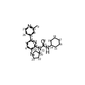 Cc1cc(-c2ccc3c(n2)N(C(=O)NC2CCCCC2)[C@@]2(C)CCN3C2)ccn1